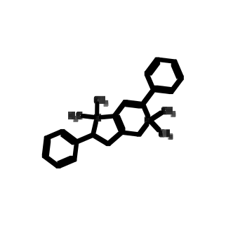 C[Si]1(C)CC2=C(C=C1c1ccccc1)[Si](C)(C)C(c1ccccc1)C2